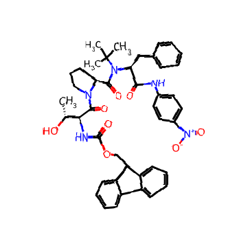 C[C@@H](O)[C@H](NC(=O)OCC1c2ccccc2-c2ccccc21)C(=O)N1CCC[C@H]1C(=O)N([C@@H](Cc1ccccc1)C(=O)Nc1ccc([N+](=O)[O-])cc1)C(C)(C)C